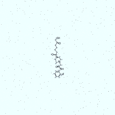 O=C(CS)CCCCC(=O)N1CCN(CC(=O)Nc2ccccc2F)CC1